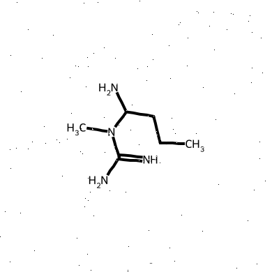 CCCC(N)N(C)C(=N)N